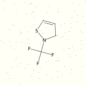 FC(F)(F)N1[CH]C=CS1